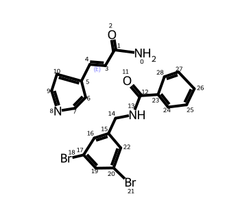 NC(=O)/C=C/c1ccncc1.O=C(NCc1cc(Br)cc(Br)c1)c1ccccc1